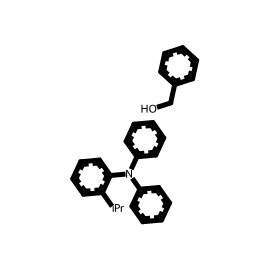 CC(C)c1ccccc1N(c1ccccc1)c1ccccc1.OCc1ccccc1